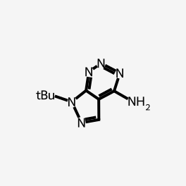 CC(C)(C)n1ncc2c(N)nnnc21